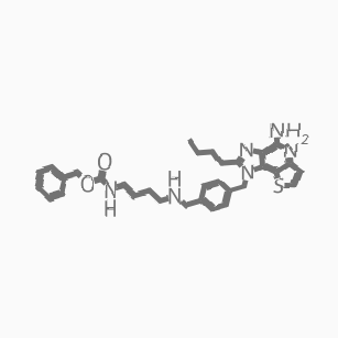 CCCCc1nc2c(N)nc3ccsc3c2n1Cc1ccc(CNCCCCNC(=O)OCc2ccccc2)cc1